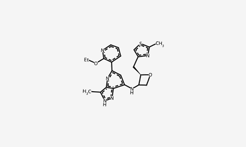 CCOc1ncccc1-c1cc(NC2CO[C@@H]2Cc2csc(C)n2)c2n[nH]c(C)c2n1